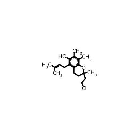 CC(C)=CCc1c(O)c(C)c(C)c2c1CCC(C)(CCCl)O2